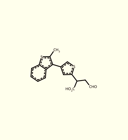 Cc1sc2ccccc2c1-c1csc(C(CC=O)C(=O)O)c1